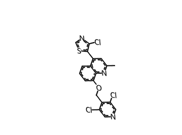 Cc1cc(-c2scnc2Cl)c2cccc(OCc3c(Cl)cncc3Cl)c2n1